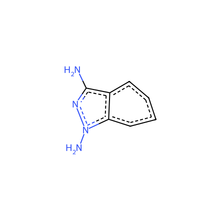 Nc1nn(N)c2ccccc12